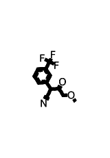 COCC(=O)C(C#N)c1cccc(C(F)(F)F)c1